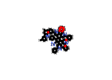 Cc1ccc2c(c1)c1cc(C)ccc1n2-c1ccc(-c2c(C#N)c(-c3cc(-c4ccccc4)nc(-c4ccccc4)c3)c(-c3cc(C)nc(C)c3)c(-c3cc(-c4ccccc4)nc(-c4ccccc4)c3)c2-c2cc(-c3ccccc3)nc(-c3ccccc3)c2)cc1